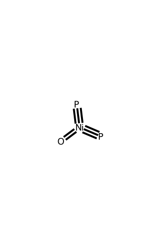 [O]=[Ni](#[P])#[P]